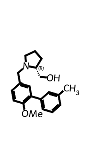 COc1ccc(CN2CCC[C@@H]2CO)cc1-c1cccc(C)c1